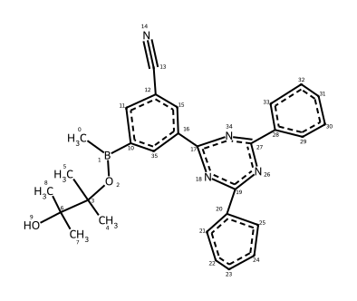 CB(OC(C)(C)C(C)(C)O)c1cc(C#N)cc(-c2nc(-c3ccccc3)nc(-c3ccccc3)n2)c1